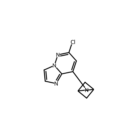 Clc1cc(N2CC3CC2C3)c2nccn2n1